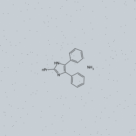 CCCc1nc(-c2ccccc2)c(-c2ccccc2)[nH]1.N